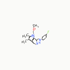 CCOCCn1c(C)c(C)c2ccnc(CNc3ccc(F)cc3)c21